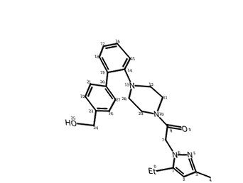 CCc1cc(C)nn1CC(=O)N1CCN(c2ccccc2-c2ccc(CO)cc2)CC1